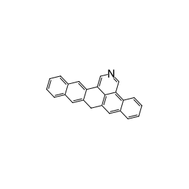 c1ccc2cc3c(cc2c1)Cc1cc2ccccc2c2cncc-3c12